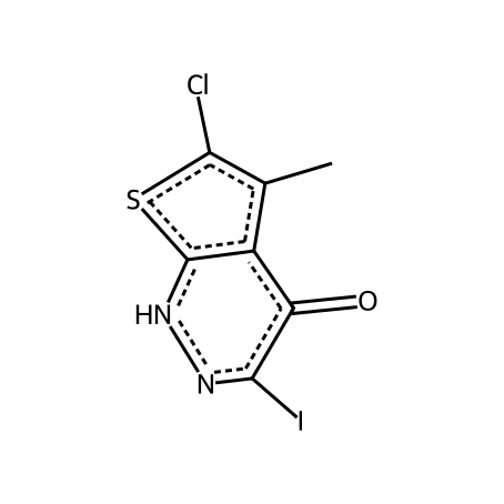 Cc1c(Cl)sc2[nH]nc(I)c(=O)c12